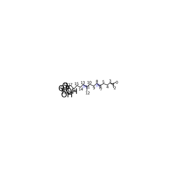 CC(C)=CCC/C(C)=C/CC/C(C)=C/CCCCP(=O)(O)C(=O)O